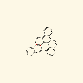 c1ccc2cc(-c3cccc4ccc5c6ccccc6c6ccccc6c5c34)ccc2c1